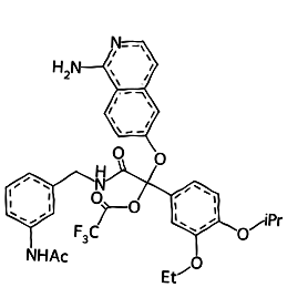 CCOc1cc(C(OC(=O)C(F)(F)F)(Oc2ccc3c(N)nccc3c2)C(=O)NCc2cccc(NC(C)=O)c2)ccc1OC(C)C